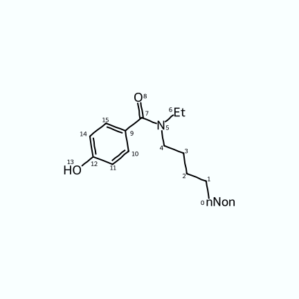 CCCCCCCCCCCCCN(CC)C(=O)c1ccc(O)cc1